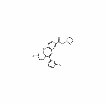 O=C(NN1CCCC1)c1ccc2c(c1)N=C(c1cccc(Br)c1)C1C=CC(Cl)=CC1S2